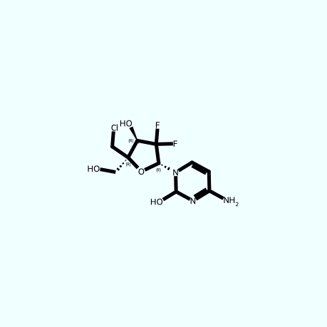 NC1=NC(O)N([C@@H]2O[C@@](CO)(CCl)[C@@H](O)C2(F)F)C=C1